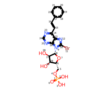 O=P(O)(O)OC[C@H]1O[C@@H](n2c(Br)nc3c(C=Cc4ccccc4)ncnc32)[C@H](O)[C@@H]1O